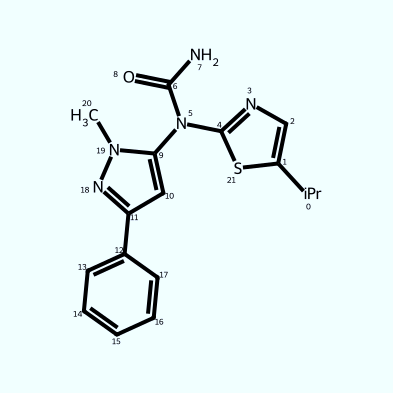 CC(C)c1cnc(N(C(N)=O)c2cc(-c3ccccc3)nn2C)s1